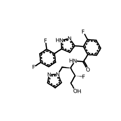 O=C(N[C@H](Cn1cccn1)[C@H](F)CO)c1cccc(F)c1-c1cc(-c2ccc(F)cc2F)[nH]n1